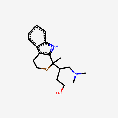 CN(C)CC(CCO)C1(C)SCCc2c1[nH]c1ccccc21